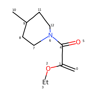 C=C(OCC)C(=O)N1CCC(C)CC1